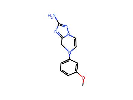 COc1cccc(N2C=Cn3nc(N)nc3C2)c1